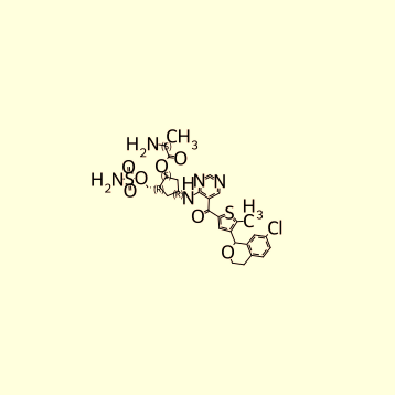 Cc1sc(C(=O)c2cncnc2N[C@@H]2C[C@H](COS(N)(=O)=O)[C@@H](OC(=O)[C@H](C)N)C2)cc1C1OCCc2ccc(Cl)cc21